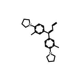 C=CC=C(c1ccc(N2CCCC2)c(C)c1)c1ccc(N2CCCC2)c(C)c1